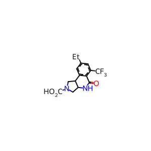 CCc1cc2c(c(C(F)(F)F)c1)C(=O)NC1CN(C(=O)O)CC21